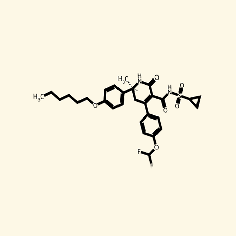 CCCCCCOc1ccc([C@]2(C)CC(c3ccc(OC(F)F)cc3)=C(C(=O)NS(=O)(=O)C3CC3)C(=O)N2)cc1